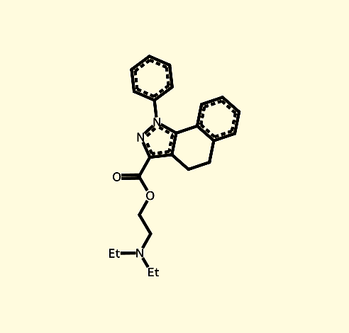 CCN(CC)CCOC(=O)c1nn(-c2ccccc2)c2c1CCc1ccccc1-2